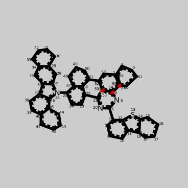 c1ccc(-c2nc(-c3cccc4c3sc3ccccc34)nc(-c3ccc(-n4c5cc6ccccc6cc5c5ccc6ccccc6c54)c4cccc(-c5ccccc5)c34)n2)cc1